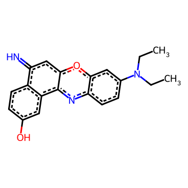 CCN(CC)c1ccc2nc3c4cc(O)ccc4c(=N)cc-3oc2c1